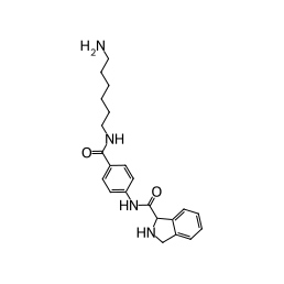 NCCCCCCNC(=O)c1ccc(NC(=O)C2NCc3ccccc32)cc1